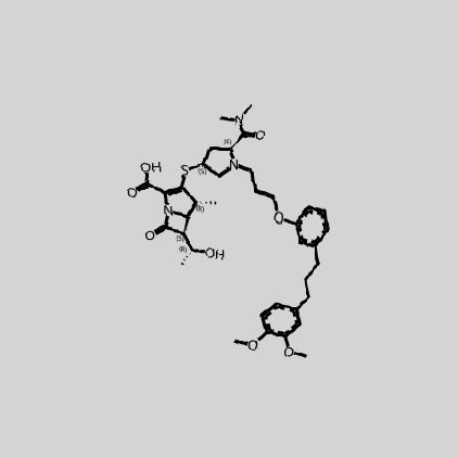 COc1ccc(CCCc2cccc(OCCCN3C[C@@H](SC4=C(C(=O)O)N5C(=O)[C@H]([C@@H](C)O)C5[C@H]4C)C[C@H]3C(=O)N(C)C)c2)cc1OC